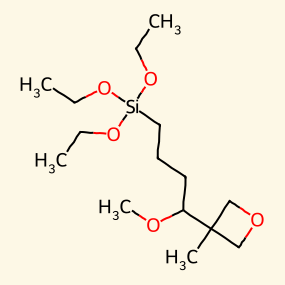 CCO[Si](CCCC(OC)C1(C)COC1)(OCC)OCC